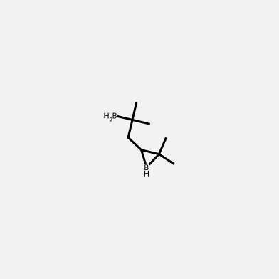 BC(C)(C)CC1BC1(C)C